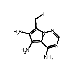 Bc1c(N)c2c(N)ncnn2c1CI